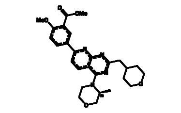 COC(=O)c1cc(-c2ccc3c(N4CCOC[C@@H]4C)nc(CC4CCOCC4)nc3n2)ccc1OC